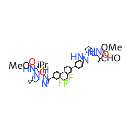 C=C(C=O)[C@@H](CN1CCC[C@H]1c1nc2ccc(-c3ccc4c(c3)C(F)(F)C(F)(F)c3cc(-c5cnc([C@@H]6CC7(CC7)CN6C(=O)[C@@H](NC(=O)OC)C(C)C)[nH]5)ccc3-4)cc2[nH]1)NC(=O)OC